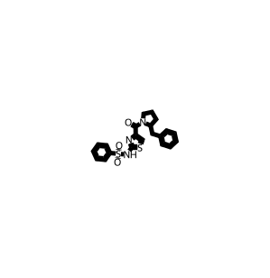 O=C(c1csc(NS(=O)(=O)c2ccccc2)n1)N1CCCC1Cc1ccccc1